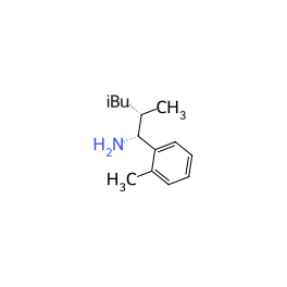 CCC(C)[C@H](C)[C@@H](N)c1ccccc1C